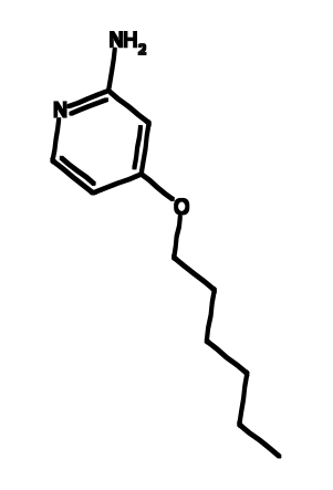 CCCCCCOc1ccnc(N)c1